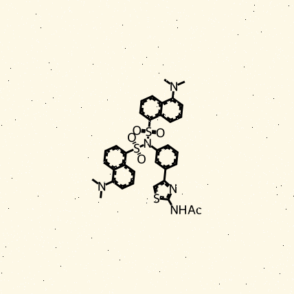 CC(=O)Nc1nc(-c2cccc(N(S(=O)(=O)c3cccc4c(N(C)C)cccc34)S(=O)(=O)c3cccc4c(N(C)C)cccc34)c2)cs1